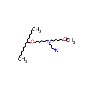 CCCCCCCCC(CCCCCC)COCCCCCCN(CCCC#N)CCCCCCOC